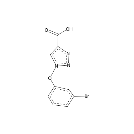 O=C(O)c1cn(Oc2cccc(Br)c2)nn1